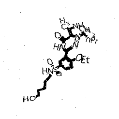 C=C(CCC)N1N=C(c2cc(S(=O)(=O)NCCCCCO)ccc2OCC)NC(=O)/C1=C(\C)N